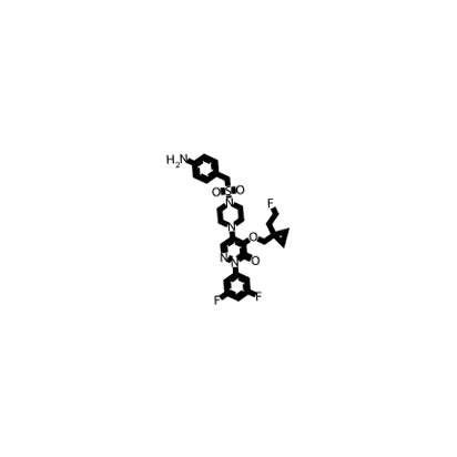 Nc1ccc(CS(=O)(=O)N2CCN(c3cnn(-c4cc(F)cc(F)c4)c(=O)c3OCC3(CCF)CC3)CC2)cc1